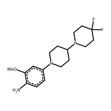 COc1cc(N2CCC(N3CCC(F)(F)CC3)CC2)ccc1N